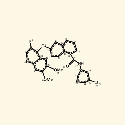 COc1cc2ncc(F)c(Oc3ccc4c(C(=O)Nc5cccc(C(F)(F)F)c5)cccc4c3)c2cc1OC